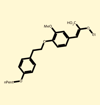 CCCCCOc1ccc(CCOc2ccc(/C=C(/OCC)C(=O)O)cc2OC)cc1